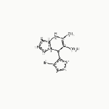 CC1=C(C(=O)O)C(c2sccc2Br)n2nnnc2N1